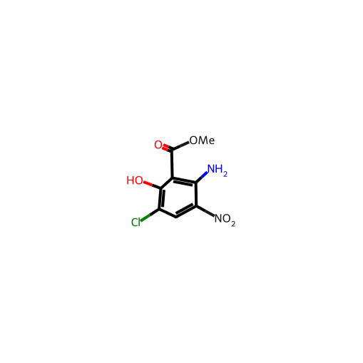 COC(=O)c1c(N)c([N+](=O)[O-])cc(Cl)c1O